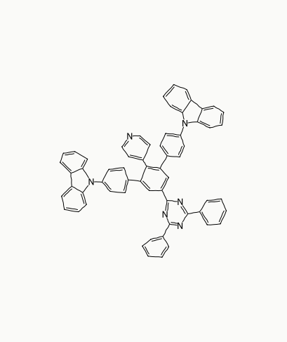 c1ccc(-c2nc(-c3ccccc3)nc(-c3cc(-c4ccc(-n5c6ccccc6c6ccccc65)cc4)c(-c4ccncc4)c(-c4ccc(-n5c6ccccc6c6ccccc65)cc4)c3)n2)cc1